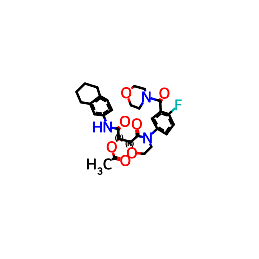 CC(=O)O[C@@H](C(=O)Nc1ccc2c(c1)CCCC2)[C@H]1OCCN(c2ccc(F)c(C(=O)N3CCOCC3)c2)C1=O